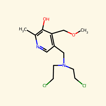 COCc1c(CN(CCCl)CCCl)cnc(C)c1O